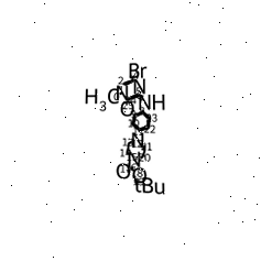 Cn1cc(Br)nc(Nc2ccc(N3CCN(C(=O)OC(C)(C)C)CC3)cc2)c1=O